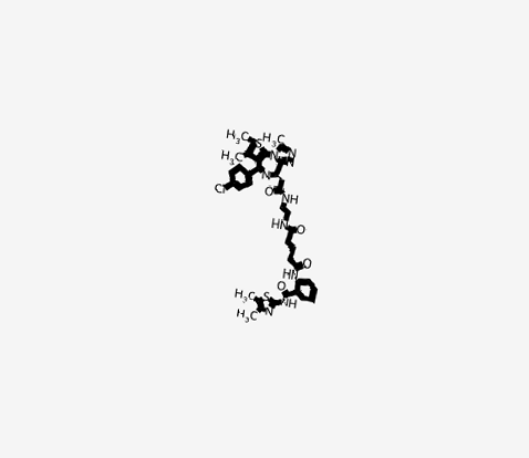 Cc1nc(NC(=O)c2ccccc2NC(=O)CCCC(=O)NCCNC(=O)C[C@@H]2N=C(c3ccc(Cl)cc3)c3c(sc(C)c3C)-n3c(C)nnc32)sc1C